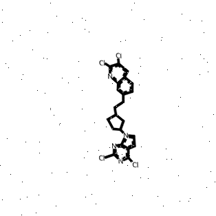 Clc1nc(Cl)c2ccn(C3CCC(CCc4ccc5cc(Cl)c(Cl)nc5c4)C3)c2n1